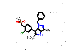 CCOC(=O)c1[nH]c2c(C(C)C)nn(Cc3ccccc3)c2c1-c1ccc(CS(C)(=O)=O)c(Cl)c1